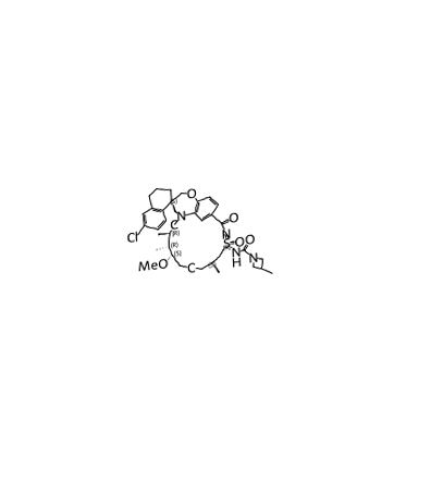 CO[C@H]1CCC[C@H](C)C[S@@](=O)(NC(=O)N2CC(C)C2)=NC(=O)c2ccc3c(c2)N(C[C@H](C)[C@H]1C)C[C@@]1(CCCc2cc(Cl)ccc21)CO3